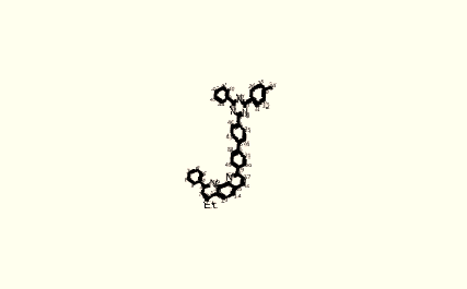 CCc1cc(-c2ccccc2)nc2c1ccc1ccc(-c3ccc(-c4ccc(-c5nc(C6=CCC(C)C=C6)nc(-c6ccccc6)n5)cc4)cc3)nc12